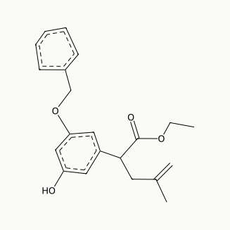 C=C(C)CC(C(=O)OCC)c1cc(O)cc(OCc2ccccc2)c1